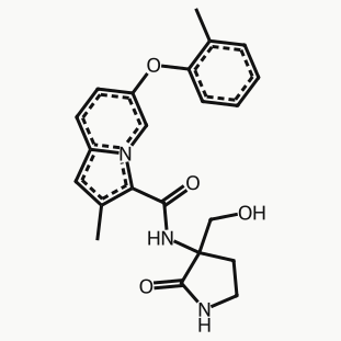 Cc1ccccc1Oc1ccc2cc(C)c(C(=O)NC3(CO)CCNC3=O)n2c1